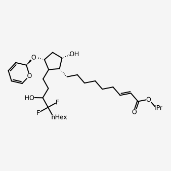 CCCCCCC(F)(F)C(O)CCC1[C@@H](CCCCCC/C=C/C(=O)OC(C)C)[C@@H](O)C[C@H]1O[C@@H]1C=CC=CO1